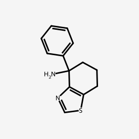 NC1(c2ccccc2)CCCc2scnc21